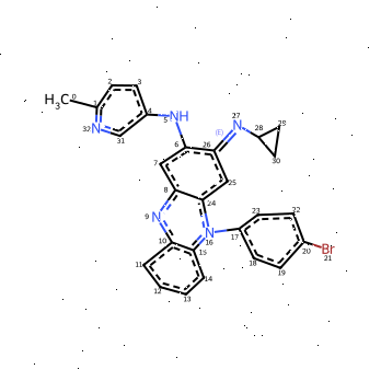 Cc1ccc(Nc2cc3nc4ccccc4n(-c4ccc(Br)cc4)c-3c/c2=N\C2CC2)cn1